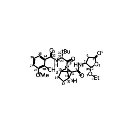 CCO[C@@H]1OC(=O)CC1NC(=O)C1[C@H]2CCC(C2)N1C(=O)[C@@H](NC(=O)c1cccc(OC)c1C)C(C)(C)C